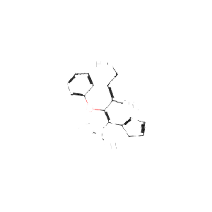 CCC=C(C)C(Oc1ccccc1)=C(C1=CC=CC1)[SiH](C)C.[Ti]